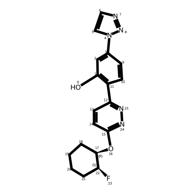 Oc1cc(-n2ccnn2)ccc1-c1ccc(O[C@@H]2CCCC[C@@H]2F)nn1